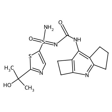 CC(C)(O)c1ncc(S(N)(=O)=NC(=O)Nc2c3c(nc4c2CC4)CCC3)s1